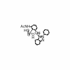 CC(=O)Nc1cccc(O)c1[As](=O)(O)O.[O-][n+]1c2ccccc2nn1-c1ccccc1